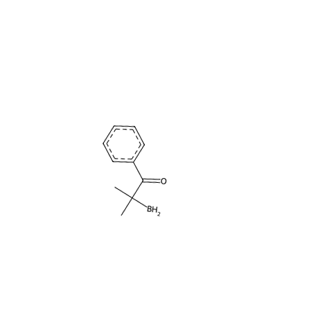 BC(C)(C)C(=O)c1ccccc1